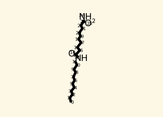 CCCCCCCCCCCCNC(=O)CCCCCCCCC(N)=O